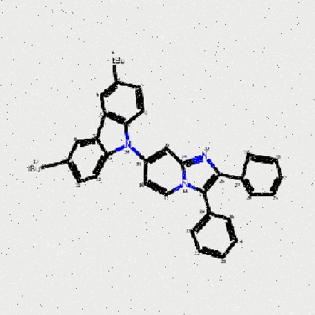 CC(C)(C)c1ccc2c(c1)c1cc(C(C)(C)C)ccc1n2-c1ccn2c(-c3ccccc3)c(-c3ccccc3)nc2c1